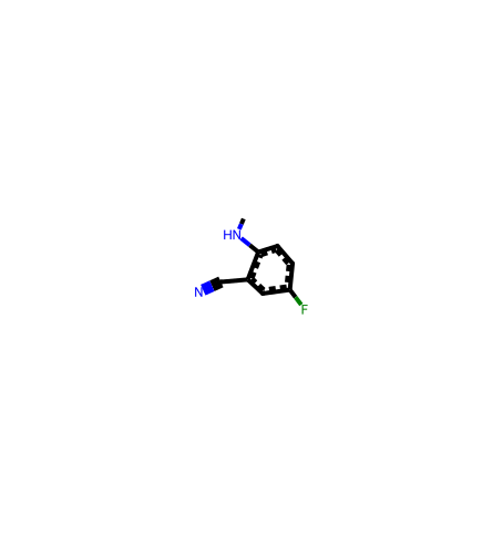 CNc1ccc(F)cc1C#N